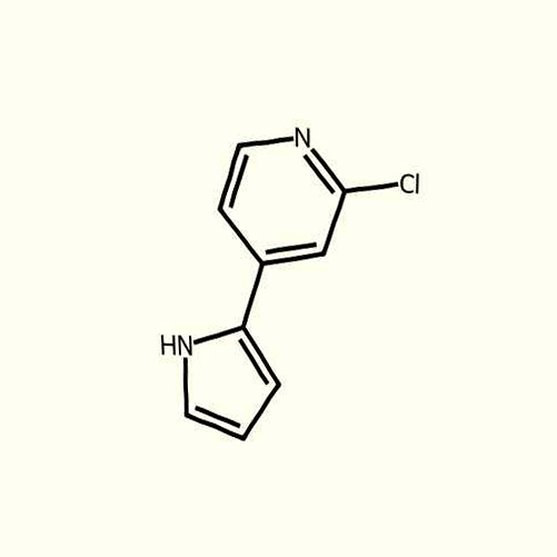 Clc1cc(-c2ccc[nH]2)ccn1